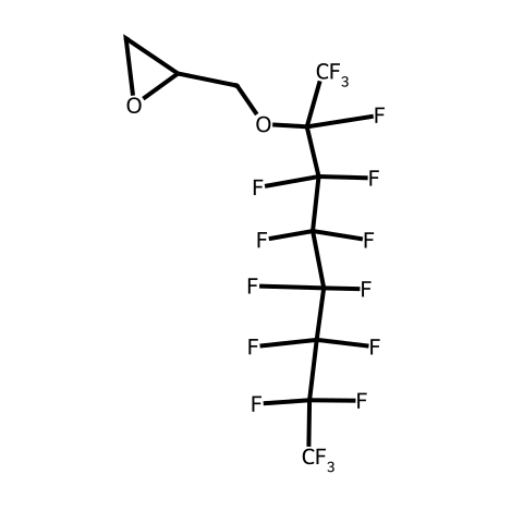 FC(F)(F)C(F)(F)C(F)(F)C(F)(F)C(F)(F)C(F)(F)C(F)(OCC1CO1)C(F)(F)F